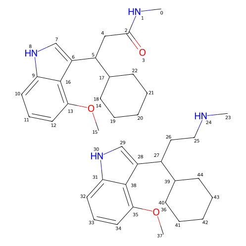 CNC(=O)CC(c1c[nH]c2cccc(OC)c12)C1CCCCC1.CNCCC(c1c[nH]c2cccc(OC)c12)C1CCCCC1